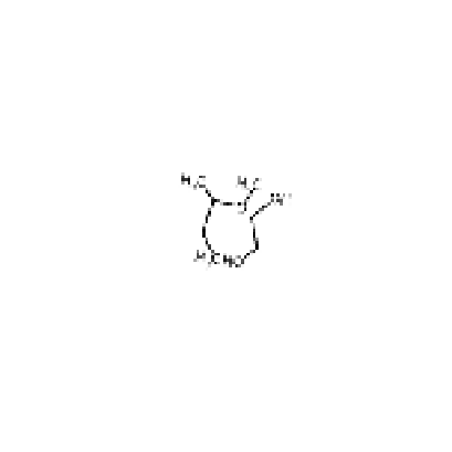 CCC(C)OC.OCCO